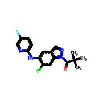 CC(C)(C)C(=O)n1ncc2cc(Nc3ccc(F)cn3)c(Cl)cc21